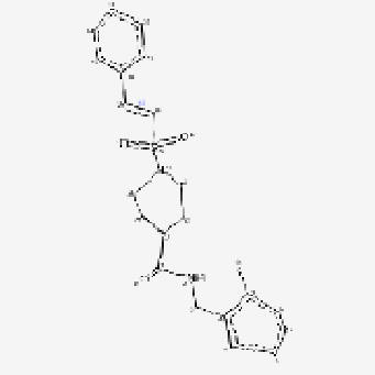 O=C(NCc1ccccc1F)C1CCN(S(=O)(=O)/C=C/c2ccccc2)CC1